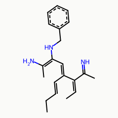 C/C=C(/C(C)=N)C(=C/C(NCc1ccccc1)=C(\C)N)/C=C/CC